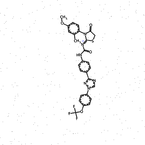 COc1ccc(N2C(=O)CS/C2=N\C(=O)Nc2ccc(-c3ncn(-c4ccc(OC(F)(F)F)cc4)n3)cc2)c(C)c1